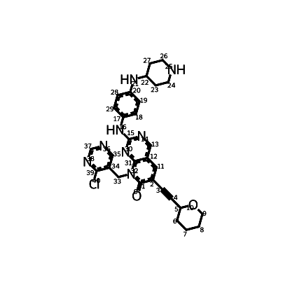 O=c1c(C#CC2CCCCO2)cc2cnc(Nc3ccc(NC4CCNCC4)cc3)nc2n1Cc1cncnc1Cl